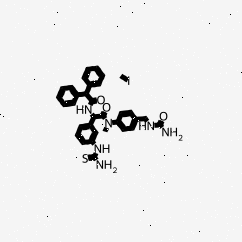 CI.CN(C(=O)C(NC(=O)C(c1ccccc1)c1ccccc1)c1cccc(NC(N)=S)c1)c1ccc(CNC(N)=O)cc1